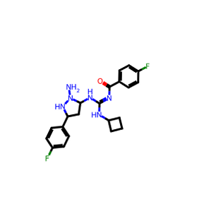 NN1NC(c2ccc(F)cc2)CC1N/C(=N\C(=O)c1ccc(F)cc1)NC1CCC1